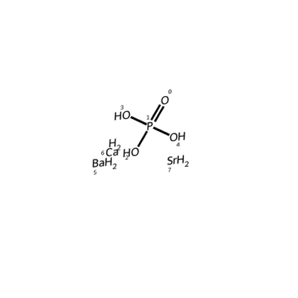 O=P(O)(O)O.[BaH2].[CaH2].[SrH2]